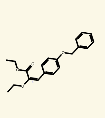 CCOC(=O)/C(=C\c1ccc(OCc2ccccc2)cc1)OCC